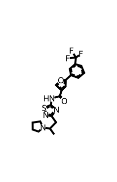 CC(Cc1nsc(NC(=O)c2coc(-c3cccc(C(F)(F)F)c3)c2)n1)N1CCCC1